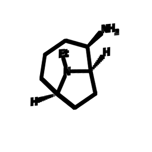 CCN1[C@@H]2CCC[C@@H](N)[C@H]1CC2